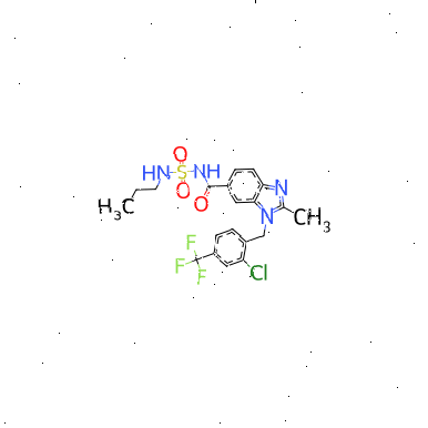 CCCNS(=O)(=O)NC(=O)c1ccc2nc(C)n(Cc3ccc(C(F)(F)F)cc3Cl)c2c1